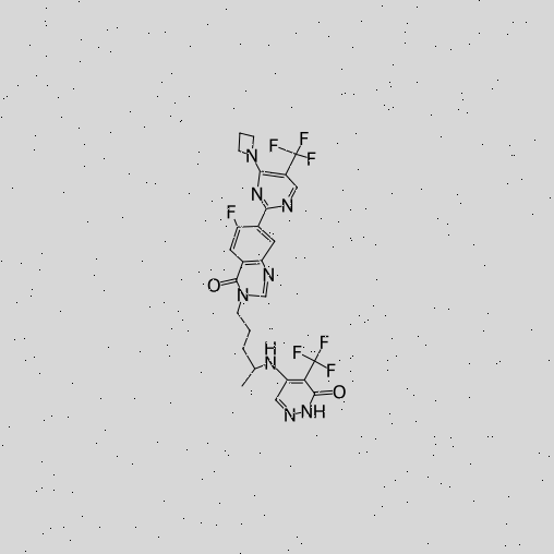 CC(CCCn1cnc2cc(-c3ncc(C(F)(F)F)c(N4CCC4)n3)c(F)cc2c1=O)Nc1cn[nH]c(=O)c1C(F)(F)F